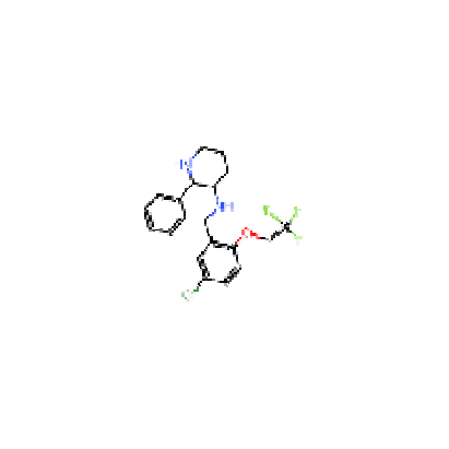 FC(F)(F)COc1ccc(Cl)cc1CNC1CCCNC1c1ccccc1